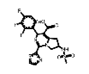 COC(=O)C1=C2CC(NS(C)(=O)=O)CN2C(c2nccs2)=NC1c1ccc(F)c(F)c1F